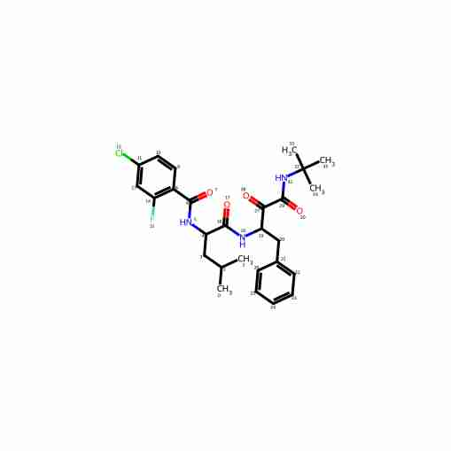 CC(C)CC(NC(=O)c1ccc(Cl)cc1F)C(=O)NC(Cc1ccccc1)C(=O)C(=O)NC(C)(C)C